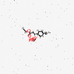 [B+2]c1ccc(CCC(=O)OCC)cc1.[OH-].[OH-]